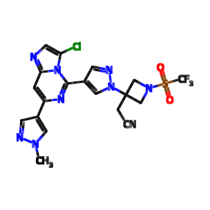 Cn1cc(-c2cc3ncc(Cl)n3c(-c3cnn(C4(CC#N)CN(S(=O)(=O)C(F)(F)F)C4)c3)n2)cn1